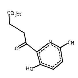 CCOC(=O)CCC(=O)c1nc(C#N)ccc1O